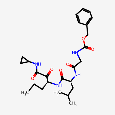 CCC[C@H](NC(=O)[C@H](CC(C)C)NC(=O)CNC(=O)OCc1ccccc1)C(=O)C(=O)NC1CC1